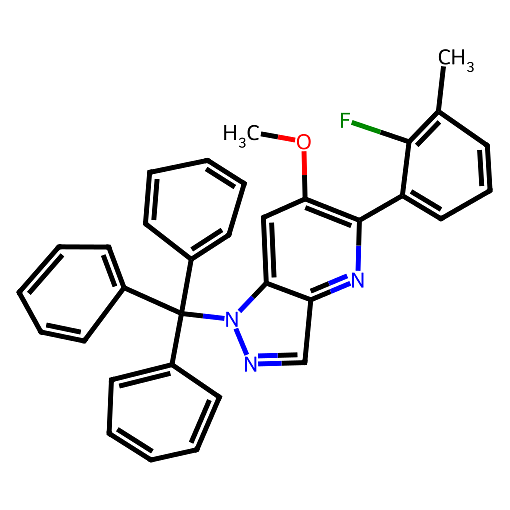 COc1cc2c(cnn2C(c2ccccc2)(c2ccccc2)c2ccccc2)nc1-c1cccc(C)c1F